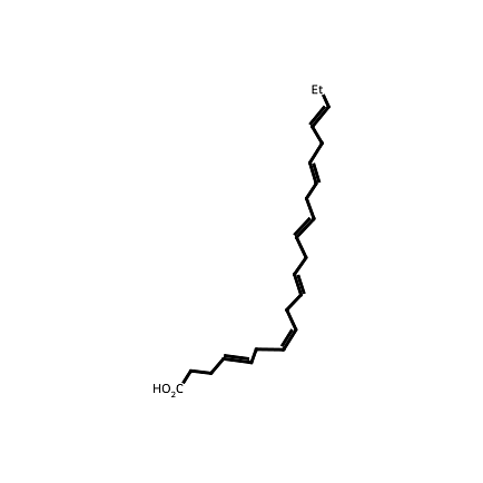 CC/C=C/C/C=C/C/C=C/C/C=C/C/C=C\C/C=C/CCC(=O)O